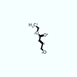 CCOC(=O)C=CC[O]